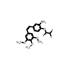 COc1cc(/C=C\c2ccc(OC(F)C(F)F)c(N)c2)cc(OC)c1OC